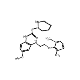 CCCOc1ccc(NC(=O)CC2CCCCN2)c(NCCOc2c(C)cccc2C)c1